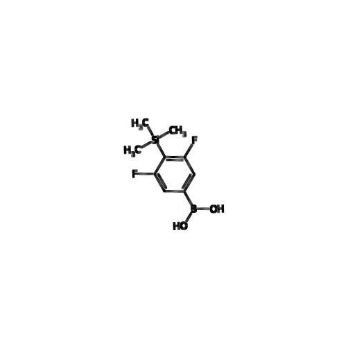 C[Si](C)(C)c1c(F)cc(B(O)O)cc1F